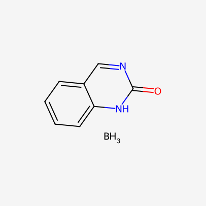 B.O=c1ncc2ccccc2[nH]1